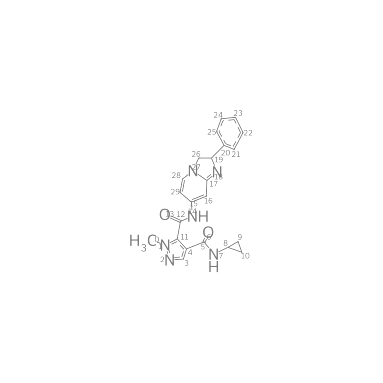 Cn1ncc(C(=O)NC2CC2)c1C(=O)NC1=CC2=NC(c3ccccc3)CN2C=C1